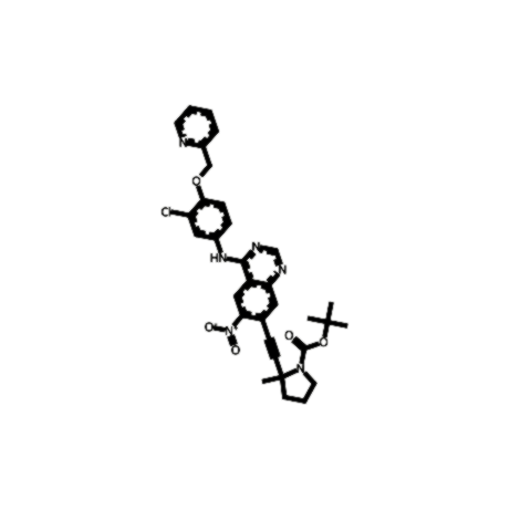 CC(C)(C)OC(=O)N1CCCC1(C)C#Cc1cc2ncnc(Nc3ccc(OCc4ccccn4)c(Cl)c3)c2cc1[N+](=O)[O-]